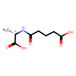 C[C@H](NC(=O)CCCC(=O)O)C(=O)O